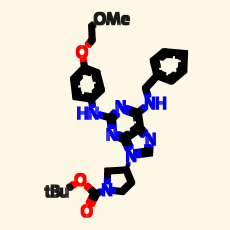 COCCOc1ccc(Nc2nc(NCc3ccccc3)c3ncn([C@@H]4CCN(C(=O)OC(C)(C)C)C4)c3n2)cc1